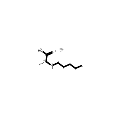 CCCCCN[C@H](C)C(=O)O.[Na]